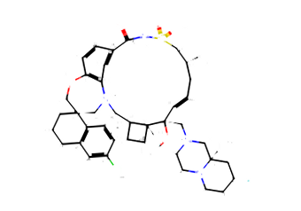 CO[C@@]1(CN2CCN3CC[C@@H](F)C[C@H]3C2)/C=C/C[C@H](C)[C@@H](C)S(=O)(=O)NC(=O)c2ccc3c(c2)N(C[C@@H]2CC[C@H]21)C[C@@]1(CCCc2cc(Cl)ccc21)CO3